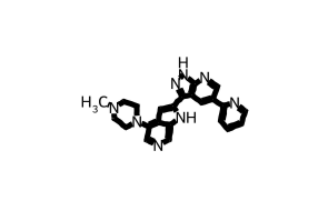 CN1CCN(c2cncc3[nH]c(-c4n[nH]c5ncc(-c6ccccn6)cc45)cc23)CC1